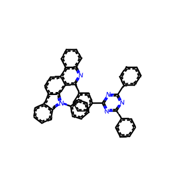 c1ccc(-c2nc(-c3ccccc3)nc(-c3cccc(-c4nc5ccccc5c5ccc6c7ccccc7n(-c7ccccc7)c6c45)c3)n2)cc1